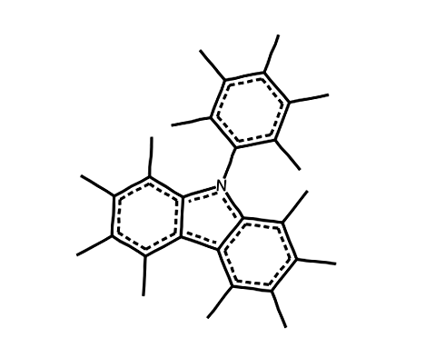 Cc1c(C)c(C)c(-n2c3c(C)c(C)c(C)c(C)c3c3c(C)c(C)c(C)c(C)c32)c(C)c1C